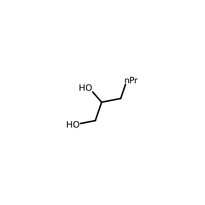 [CH2]CCCC(O)CO